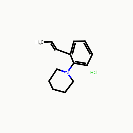 C/C=C/c1ccccc1N1CCCCC1.Cl